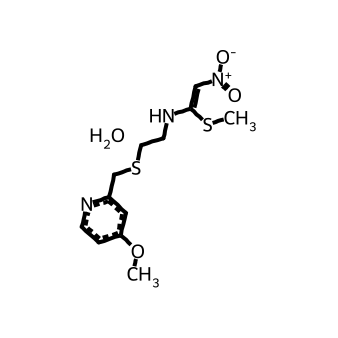 COc1ccnc(CSCCNC(=C[N+](=O)[O-])SC)c1.O